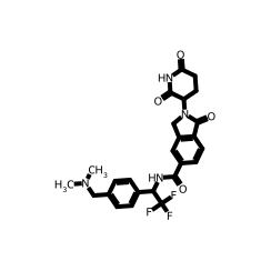 CN(C)Cc1ccc(C(NC(=O)c2ccc3c(c2)CN(C2CCC(=O)NC2=O)C3=O)C(F)(F)F)cc1